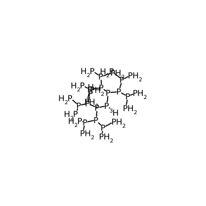 [3H]P(P(P(PP)P(P)P)P(P(P)P)P(P)P)P(P(P(P)P)P(P)P)P(P(P)P)P(P)P